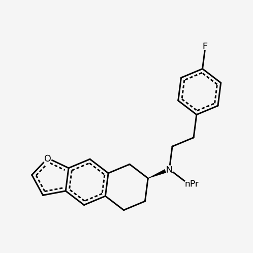 CCCN(CCc1ccc(F)cc1)[C@H]1CCc2cc3ccoc3cc2C1